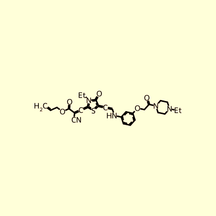 C=CCOC(=O)C(=C=c1sc(=C=CNc2cccc(OCC(=O)N3CCN(CC)CC3)c2)c(=O)n1CC)C#N